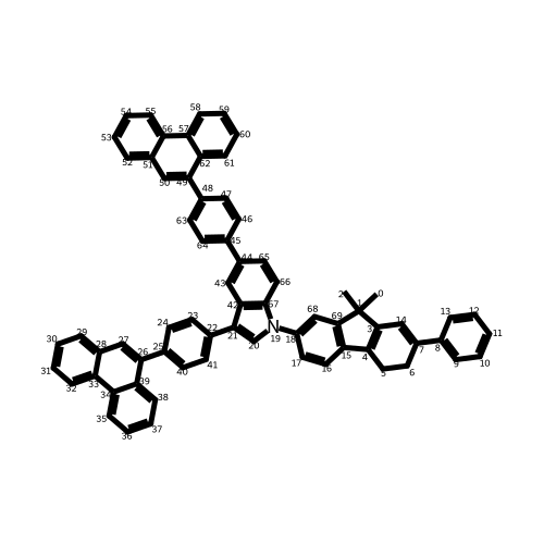 CC1(C)C2=C(CCC(c3ccccc3)=C2)c2ccc(-n3cc(-c4ccc(-c5cc6ccccc6c6ccccc56)cc4)c4cc(-c5ccc(-c6cc7ccccc7c7ccccc67)cc5)ccc43)cc21